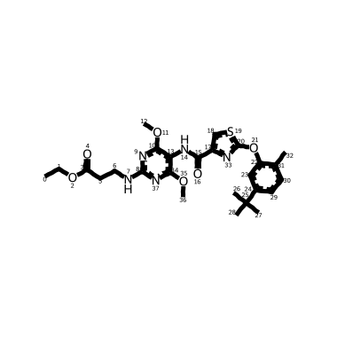 CCOC(=O)CCNc1nc(OC)c(NC(=O)c2csc(Oc3cc(C(C)(C)C)ccc3C)n2)c(OC)n1